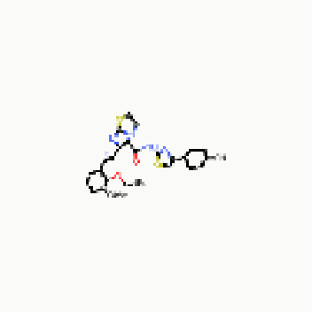 COc1cccc(/C=C/c2nc3sccn3c2C(=O)Nc2nc(-c3ccc(C#N)cc3)cs2)c1OCC(C)(C)C